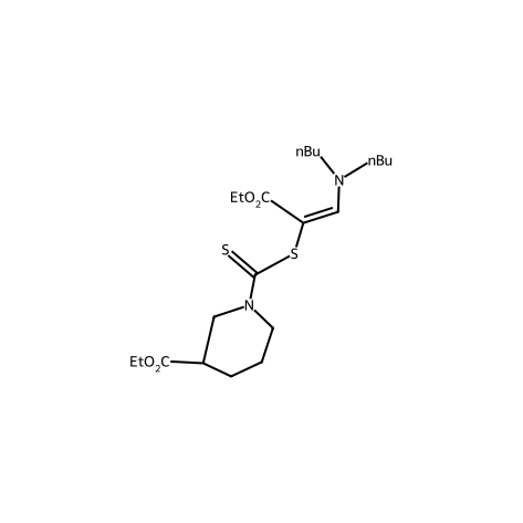 CCCCN(/C=C(/SC(=S)N1CCCC(C(=O)OCC)C1)C(=O)OCC)CCCC